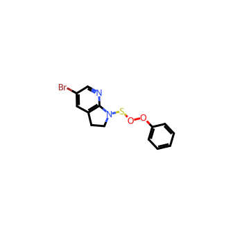 Brc1cnc2c(c1)CCN2SOOc1ccccc1